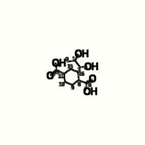 CC(O)CO.O=C(O)C1CCC(C(=O)O)CC1